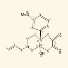 C=CCN1CC[C@]2(c3cccc(OC)c3)CC(=O)C(=O)C[C@@]2(O)C1